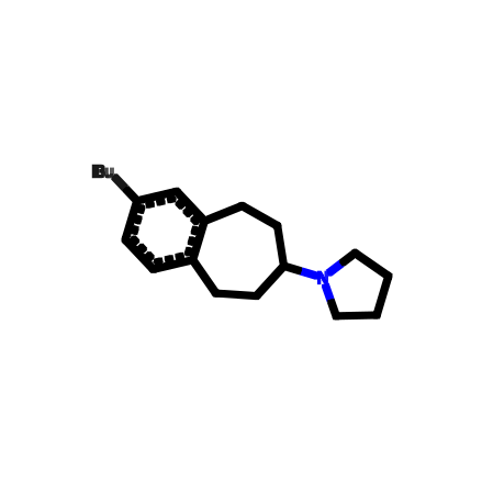 CCC(C)c1ccc2c(c1)CCC(N1CCCC1)CC2